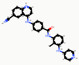 Cc1c(NC(=O)c2ccc(Nc3ccnc4ccc(C#N)cc34)cc2)cccc1Nc1ccncc1